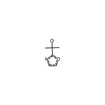 CC(C)([O])c1ncco1